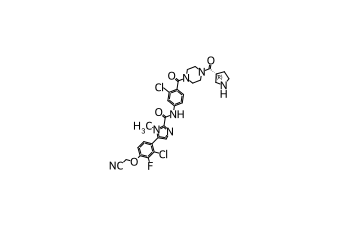 Cn1c(-c2ccc(OCC#N)c(F)c2Cl)cnc1C(=O)Nc1ccc(C(=O)N2CCN(C(=O)[C@@H]3CCNC3)CC2)c(Cl)c1